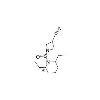 CCC1CCC[C@@H](CC)N1[S+]([O-])N1CC(C#N)C1